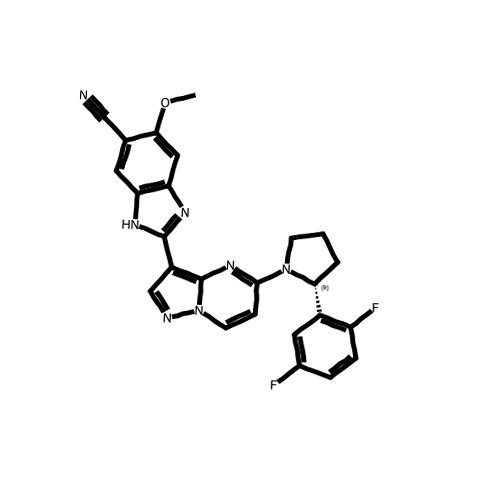 COc1cc2nc(-c3cnn4ccc(N5CCC[C@@H]5c5cc(F)ccc5F)nc34)[nH]c2cc1C#N